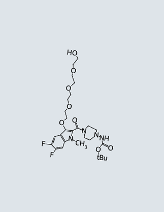 Cn1c(C(=O)N2CCN(NC(=O)OC(C)(C)C)CC2)c(OCCOCCOCCOCCO)c2cc(F)c(F)cc21